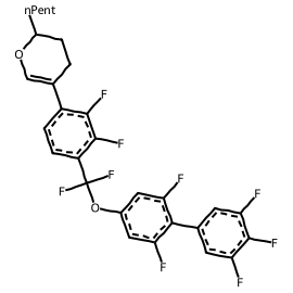 CCCCCC1CCC(c2ccc(C(F)(F)Oc3cc(F)c(-c4cc(F)c(F)c(F)c4)c(F)c3)c(F)c2F)=CO1